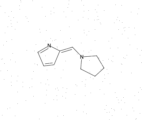 C1=CC(=CN2CCCC2)N=C1